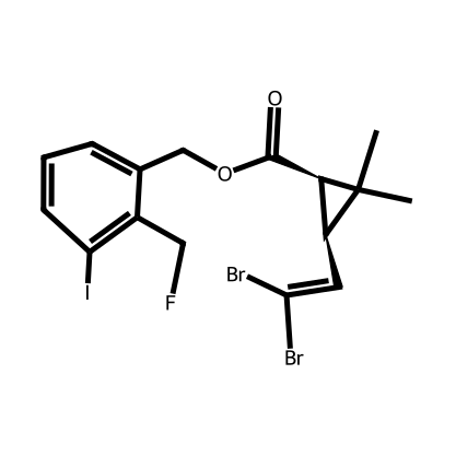 CC1(C)[C@H](C(=O)OCc2cccc(I)c2CF)[C@@H]1C=C(Br)Br